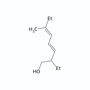 CCC(C)=CC=CC(CC)CO